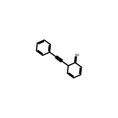 N=C1C=CC=CC1C#Cc1ccccc1